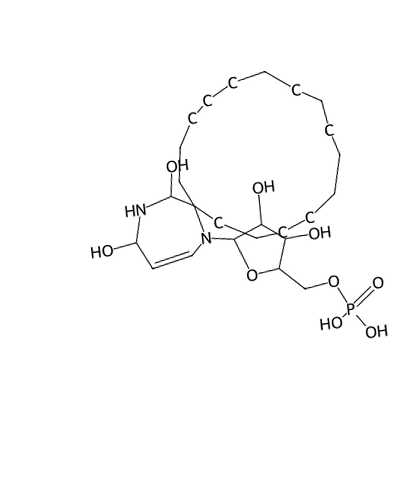 O=P(O)(O)OCC1OC(N2C=CC(O)NC(O)C23CCCCCCCCCCCCCCC3)C(O)C1O